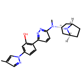 Cc1cnn(-c2ccc(-c3ccc(N(C)[C@@H]4C[C@H]5CC[C@@H](C4)N5)nn3)c(O)c2)c1